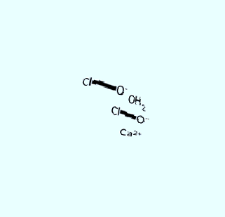 O.[Ca+2].[O-]Cl.[O-]Cl